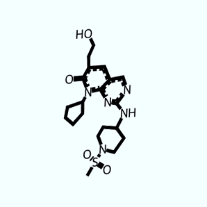 CS(=O)(=O)N1CCC(Nc2ncc3cc(CCO)c(=O)n(C4CCCC4)c3n2)CC1